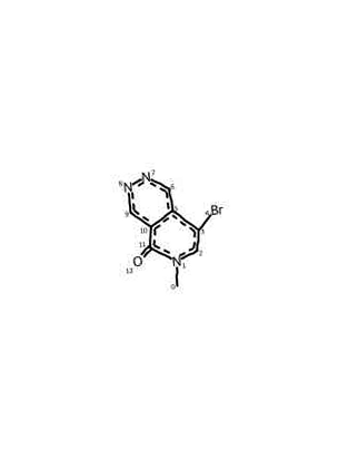 Cn1cc(Br)c2cnncc2c1=O